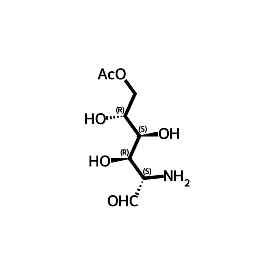 CC(=O)OC[C@@H](O)[C@@H](O)[C@H](O)[C@H](N)C=O